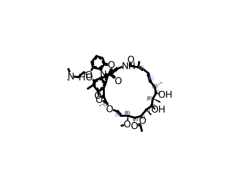 CO[C@H]1/C=C/O[C@@]2(C)Oc3c(C)c(O)c4c(=O)c(c5oc6cccc(OCCN(C)C)c6nc-5c4c3C2=O)NC(=O)/C(C)=C\C=C\[C@H](C)[C@H](O)[C@@H](C)[C@@H](O)[C@@H](C)[C@H](OC(C)=O)[C@@H]1C